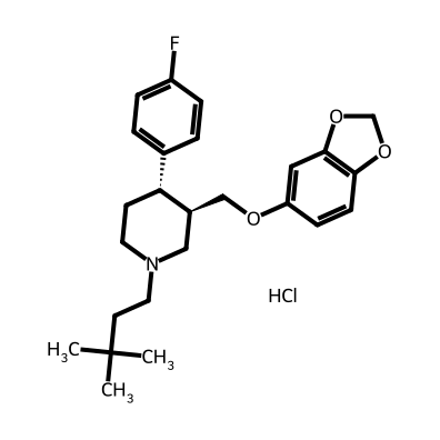 CC(C)(C)CCN1CC[C@H](c2ccc(F)cc2)[C@@H](COc2ccc3c(c2)OCO3)C1.Cl